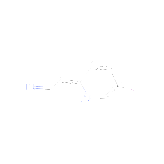 N=C/C=C1/C=CC(I)=CN1